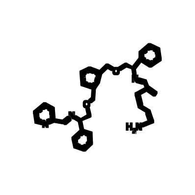 C=C(/C=C\C=C/N)/C=N/[C@@H](COCc1cccc(COC[C@H](/N=C/c2ccccn2)c2ccccc2)c1)c1ccccc1